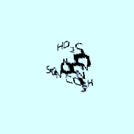 O=C(O)c1ccnc(-c2ncc(N=C=S)c(C(=O)O)c2N=C=S)c1